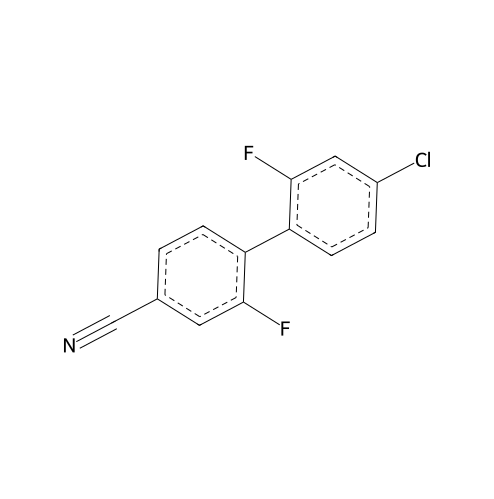 N#Cc1ccc(-c2ccc(Cl)cc2F)c(F)c1